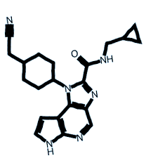 N#CCC1CCC(n2c(C(=O)NCC3CC3)nc3cnc4[nH]ccc4c32)CC1